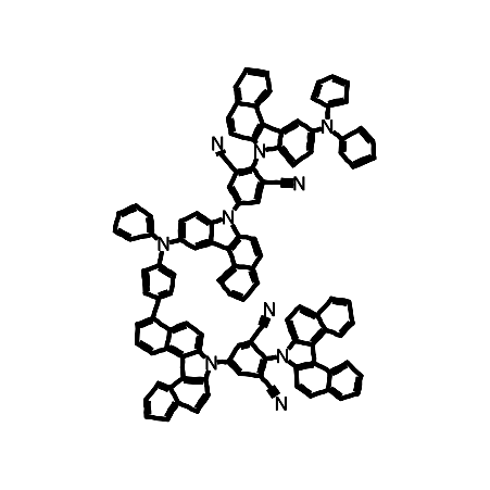 N#Cc1cc(-n2c3ccc(N(c4ccccc4)c4ccc(-c5cccc6c5ccc5c6c6c7ccccc7ccc6n5-c5cc(C#N)c(-n6c7ccc8ccccc8c7c7c8ccccc8ccc76)c(C#N)c5)cc4)cc3c3c4ccccc4ccc32)cc(C#N)c1-n1c2ccc(N(c3ccccc3)c3ccccc3)cc2c2c3ccccc3ccc21